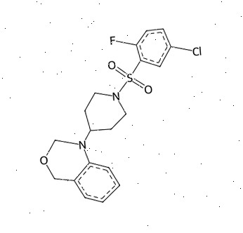 O=S(=O)(c1cc(Cl)ccc1F)N1CCC(N2COCc3ccccc32)CC1